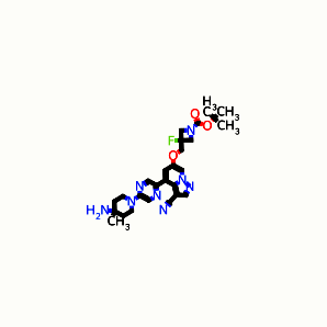 CC1(N)CCN(c2cnc(-c3cc(OCC4(F)CN(C(=O)OC(C)(C)C)C4)cn4ncc(C#N)c34)cn2)CC1